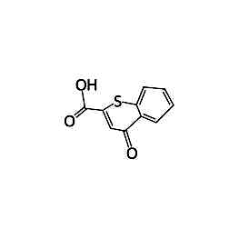 O=C(O)c1cc(=O)c2ccccc2s1